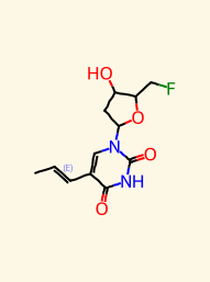 C/C=C/c1cn(C2CC(O)C(CF)O2)c(=O)[nH]c1=O